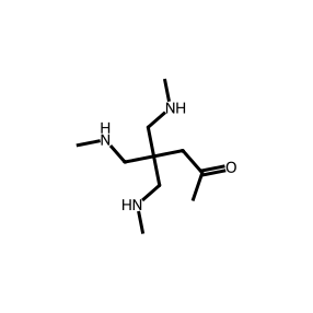 CNCC(CNC)(CNC)CC(C)=O